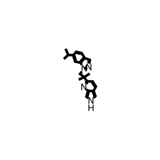 CC(C)c1ccc2cnn(CC(C)(C)c3ccc4c[nH]cc4n3)c2c1